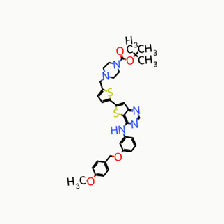 COc1ccc(COc2cccc(Nc3ncnc4cc(-c5ccc(CN6CCN(C(=O)OC(C)(C)C)CC6)s5)sc34)c2)cc1